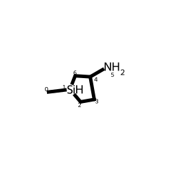 C[SiH]1CCC(N)C1